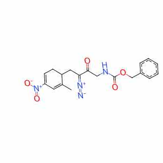 CC1=CC([N+](=O)[O-])=CCC1CC(=[N+]=[N-])C(=O)CNC(=O)OCc1ccccc1